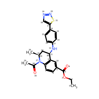 CCOC(=O)c1ccc2c(c1)[C@H](Nc1ccc(-c3cnns3)cc1)C[C@H](C)N2C(C)=O